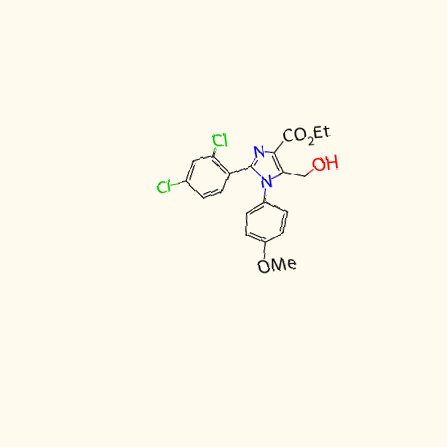 CCOC(=O)c1nc(-c2ccc(Cl)cc2Cl)n(-c2ccc(OC)cc2)c1CO